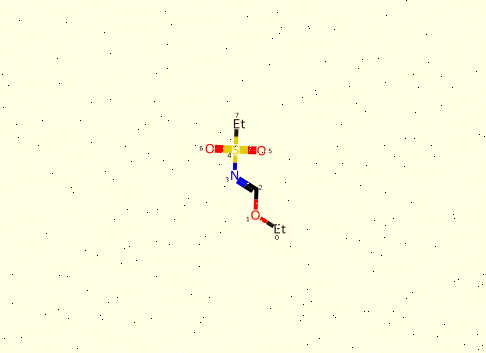 CCOC=NS(=O)(=O)CC